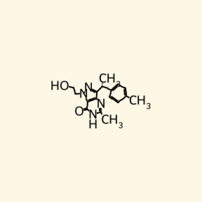 Cc1ccc([C@@H](C)c2nn(CCO)c3c(=O)[nH]c(C)nc23)cc1